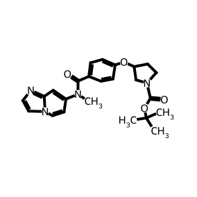 CN(C(=O)c1ccc(OC2CCN(C(=O)OC(C)(C)C)C2)cc1)c1ccn2ccnc2c1